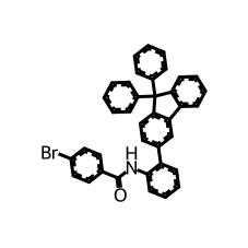 O=C(Nc1ccccc1-c1ccc2c(c1)-c1ccccc1C2(c1ccccc1)c1ccccc1)c1ccc(Br)cc1